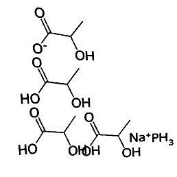 CC(O)C(=O)O.CC(O)C(=O)O.CC(O)C(=O)O.CC(O)C(=O)[O-].P.[Na+]